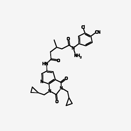 CC(CC(=O)Nc1cnc2c(c1)c(=O)n(CC1CC1)c(=O)n2CC1CC1)CC(=O)N(N)c1ccc(C#N)c(Cl)c1